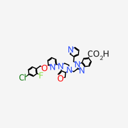 O=C(O)c1ccc2nc(CN3CCN(c4cccc(OCc5ccc(Cl)cc5F)n4)C4=COCC43)n(Cc3cccnc3)c2c1